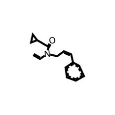 C=CN(C/C=C\c1ccccc1)C(=O)C1CC1